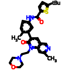 Cc1cc2c(cn1)cc(-c1cc(NC(=O)c3ccc(C(C)(C)C)s3)ccc1C)c(=O)n2CCN1CCOCC1